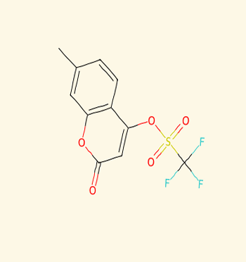 Cc1ccc2c(OS(=O)(=O)C(F)(F)F)cc(=O)oc2c1